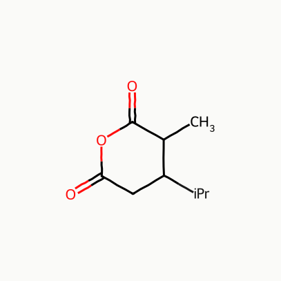 CC(C)C1CC(=O)OC(=O)C1C